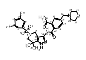 CC1(C)CN(S(=O)(=O)c2cc(F)cc(F)c2)Cc2c(NC(=O)c3ccc(CN4CCOCC4)cc3C(N)=O)n[nH]c21